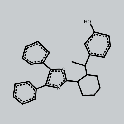 CC(c1cccc(O)c1)C1CCCCC1c1nc(-c2ccccc2)c(-c2ccccc2)o1